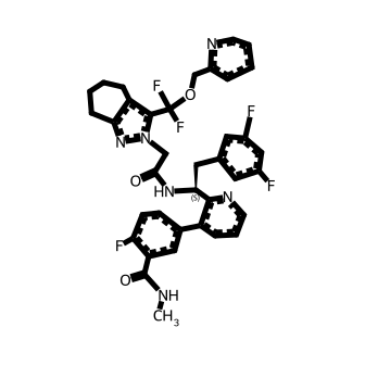 CNC(=O)c1cc(-c2cccnc2[C@H](Cc2cc(F)cc(F)c2)NC(=O)Cn2nc3c(c2C(F)(F)OCc2ccccn2)CCCC3)ccc1F